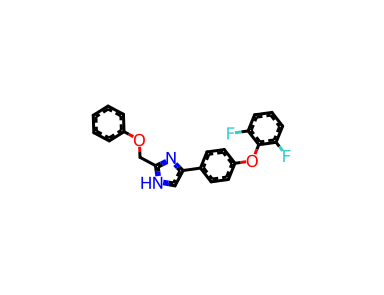 Fc1cccc(F)c1Oc1ccc(-c2c[nH]c(COc3ccccc3)n2)cc1